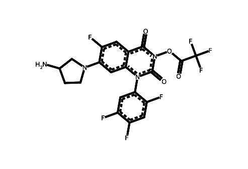 NC1CCN(c2cc3c(cc2F)c(=O)n(OC(=O)C(F)(F)F)c(=O)n3-c2cc(F)c(F)cc2F)C1